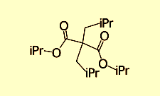 CC(C)CC(CC(C)C)(C(=O)OC(C)C)C(=O)OC(C)C